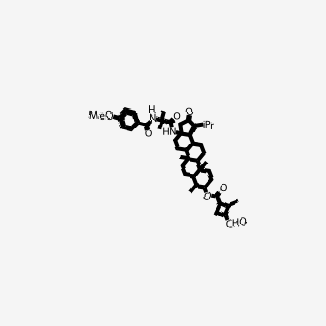 COc1ccc(C(=O)NC(C)(C)C(=O)NC23CCC4C(CCC5C4(C)CCC4C(C)C(OC(=O)C6CC(C=O)C6C)CCC45C)C2=C(C(C)C)C(=O)C3)cc1